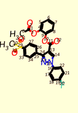 CC(=O)Oc1ccccc1OC(=O)c1cn(-c2ccc(F)cc2)nc1-c1ccc(S(C)(=O)=O)cc1